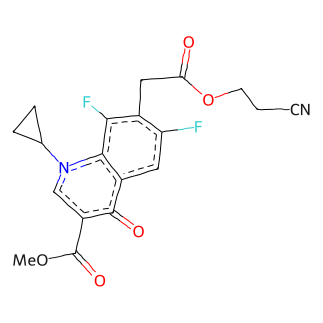 COC(=O)c1cn(C2CC2)c2c(F)c(CC(=O)OCCC#N)c(F)cc2c1=O